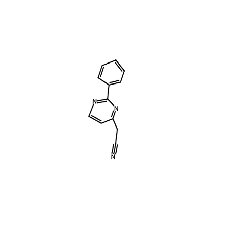 N#CCc1ccnc(-c2ccccc2)n1